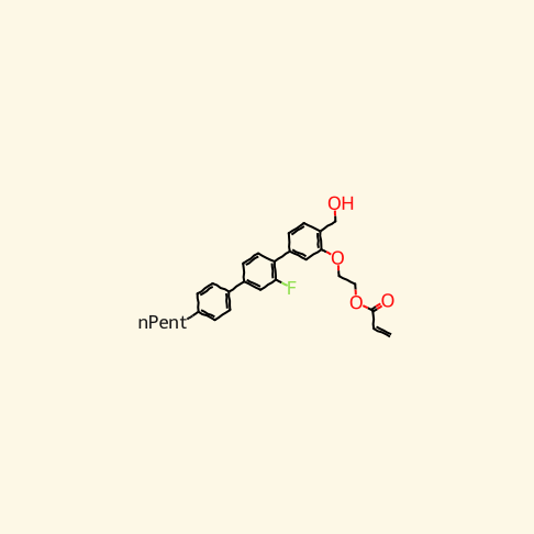 C=CC(=O)OCCOc1cc(-c2ccc(-c3ccc(CCCCC)cc3)cc2F)ccc1CO